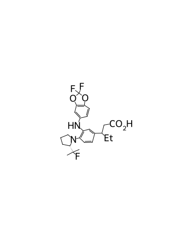 CCC(CC(=O)O)c1ccc(N2CCC[C@H]2C(C)(C)F)c(Nc2ccc3c(c2)OC(F)(F)O3)c1